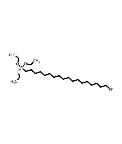 CCO[Si](CCCCCCCCCCCCCCCCCCBr)(OCC)OCC